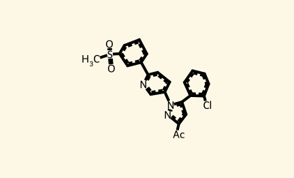 CC(=O)c1cc(-c2ccccc2Cl)n(-c2ccc(-c3cccc(S(C)(=O)=O)c3)nc2)n1